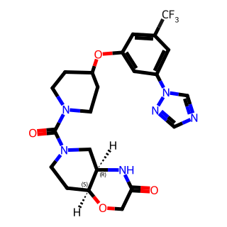 O=C1CO[C@H]2CCN(C(=O)N3CCC(Oc4cc(-n5cncn5)cc(C(F)(F)F)c4)CC3)C[C@H]2N1